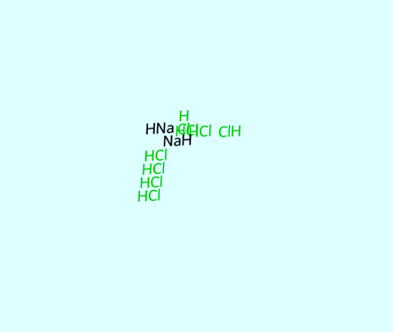 Cl.Cl.Cl.Cl.Cl.Cl.Cl.Cl.[NaH].[NaH]